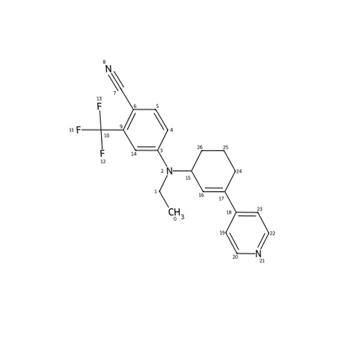 CCN(c1ccc(C#N)c(C(F)(F)F)c1)C1C=C(c2ccncc2)CCC1